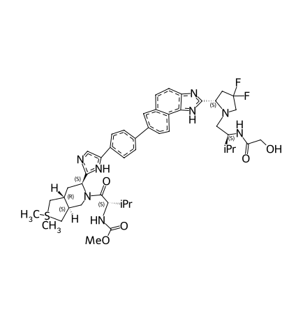 COC(=O)N[C@H](C(=O)N1C[C@H]2CS(C)(C)C[C@@H]2C[C@H]1c1ncc(-c2ccc(-c3ccc4c(ccc5nc([C@@H]6CC(F)(F)CN6C[C@@H](NC(=O)CO)C(C)C)[nH]c54)c3)cc2)[nH]1)C(C)C